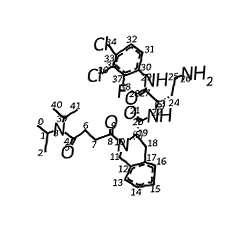 CC(C)N(C(=O)CCC(=O)N1Cc2ccccc2C[C@H]1C(=O)N[C@@H](CCN)C(=O)Nc1ccc(Cl)c(Cl)c1F)C(C)C